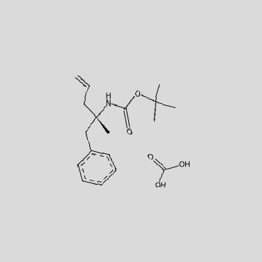 C=CC[C@@](C)(Cc1ccccc1)NC(=O)OC(C)(C)C.O=C(O)O